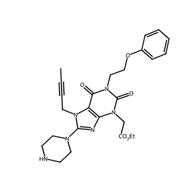 CC#CCn1c(N2CCNCC2)nc2c1c(=O)n(CCOc1ccccc1)c(=O)n2CC(=O)OCC